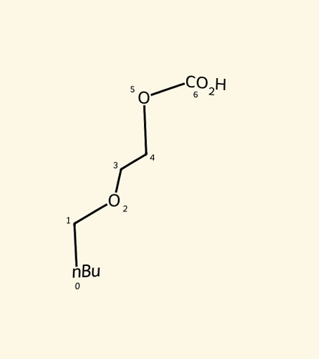 CCCCCOCCOC(=O)O